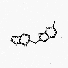 Cc1ccn2cc(Cc3[c]cn4ccnc4n3)nc2n1